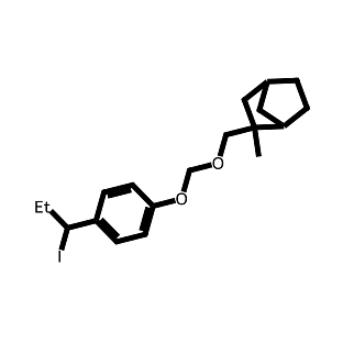 CCC(I)c1ccc(OCOCC2(C)CC3CCC2C3)cc1